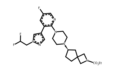 CCOC(=O)N1CC2(CC[C@@H](N3CCN(c4ncc(F)cc4-c4cnn(CC(F)F)c4)CC3)C2)C1